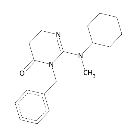 CN(C1=NCCC(=O)N1Cc1ccccc1)C1CCCCC1